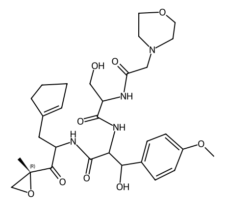 COc1ccc(C(O)C(NC(=O)C(CO)NC(=O)CN2CCOCC2)C(=O)NC(CC2=CCCC2)C(=O)[C@@]2(C)CO2)cc1